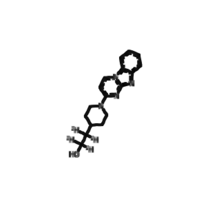 [2H]C([2H])(O)C([2H])([2H])C1CCN(c2ccn3c(n2)nc2ccccc23)CC1